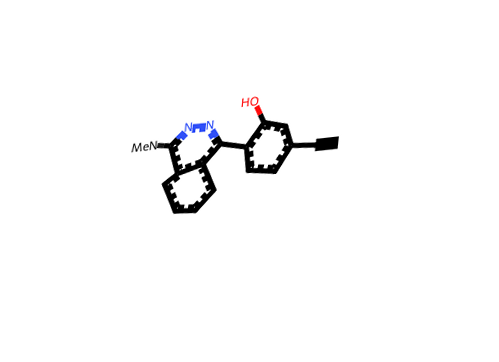 C#Cc1ccc(-c2nnc(NC)c3ccccc23)c(O)c1